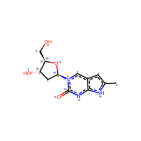 Cc1cc2cn([C@H]3C[C@H](O)[C@@H](CO)O3)c(=O)nc2[nH]1